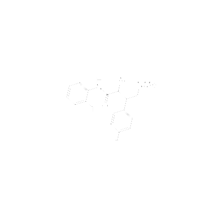 CNCC(c1ccc(F)cc1)C(C(C)=O)C(=O)Nc1ccccc1F